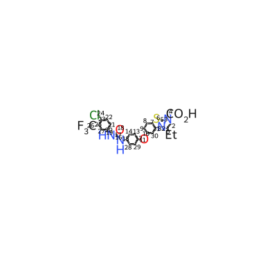 CCC1=CN(C(=O)O)C2Sc3ccc(Oc4ccc(NC(=O)Nc5ccc(Cl)c(C(F)(F)F)c5)cc4)cc3N12